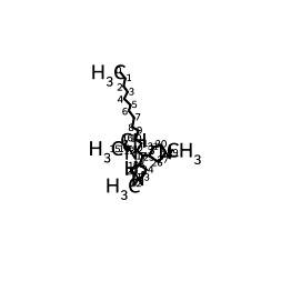 CCCCCCCCCCCCC(NC(C)C)C(C1CCN(C)CC1)C1CCN(C)CC1